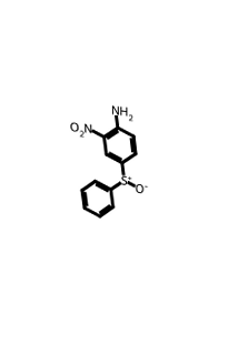 Nc1ccc([S+]([O-])c2ccccc2)cc1[N+](=O)[O-]